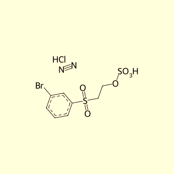 Cl.N#N.O=S(=O)(O)OCCS(=O)(=O)c1cccc(Br)c1